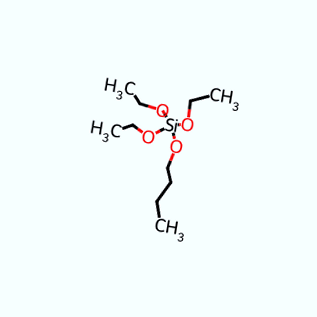 CCCCO[Si](OCC)(OCC)OCC